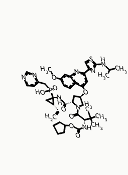 C=C[C@@H]1C[C@]1(NC(=O)[C@@H]1C[C@@H](Oc2cc(-c3csc(NC(C)C)n3)nc3cc(OC)ccc23)CN1C(=O)[C@@H](NC(=O)OC1CCCC1)C(C)(C)C)P(=O)(O)Cc1ccncn1